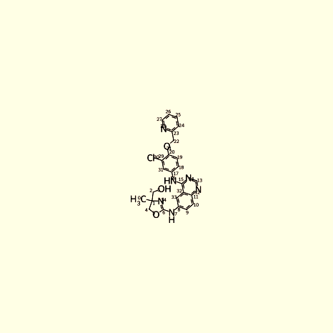 CC1(CO)COC(Nc2ccc3ncnc(Nc4ccc(OCc5ccccn5)c(Cl)c4)c3c2)=N1